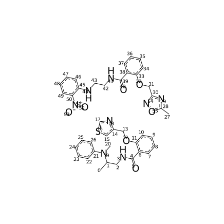 CC(CNC(=O)c1ccccc1OCc1cscn1)N(C)c1ccccc1.Cc1nc(COc2ccccc2C(=O)NCCNc2ccccc2[N+](=O)[O-])no1